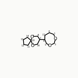 C1COCOCC(C2COC3(CCCC3)OC2)C1